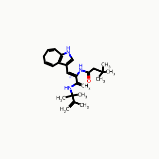 C=C(NC(C)(C)C(=C)C)/C(=C/c1c[nH]c2c1C=CCC=C2)NC(=O)CC(C)(C)C